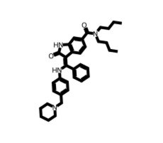 CCCCN(CCCC)C(=O)c1ccc2c(c1)NC(=O)/C2=C(\Nc1ccc(CN2CCCCC2)cc1)c1ccccc1